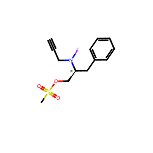 C#CCN(I)[C@H](COS(C)(=O)=O)Cc1ccccc1